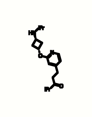 CC(C)N[C@H]1C[C@H](Oc2cc(CCC(=O)C(C)C)ccn2)C1